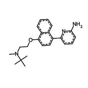 CN(CCOc1ccc(-c2cccc(N)n2)c2ccccc12)C(C)(C)C